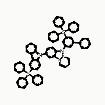 C1=CN2c3cc(-n4c5ccccc5c5cc(S(c6ccccc6)(c6ccccc6)c6ccccc6)ccc54)ccc3N(c3cc(-c4ccccc4)cc(S(c4ccccc4)(c4ccccc4)c4ccccc4)c3)N2C=C1